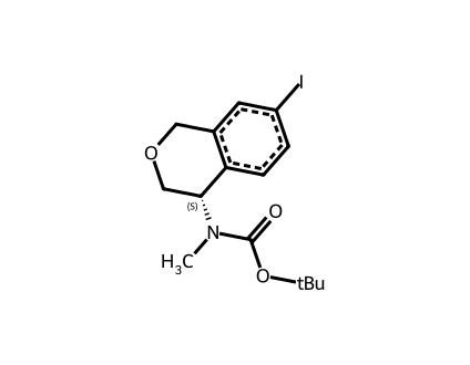 CN(C(=O)OC(C)(C)C)[C@@H]1COCc2cc(I)ccc21